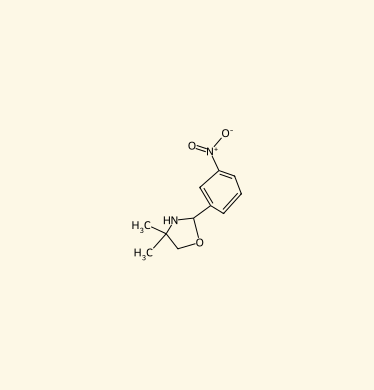 CC1(C)COC(c2cccc([N+](=O)[O-])c2)N1